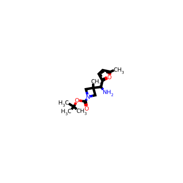 Cc1ccc(C(N)C2(C)CN(C(=O)OC(C)(C)C)C2)o1